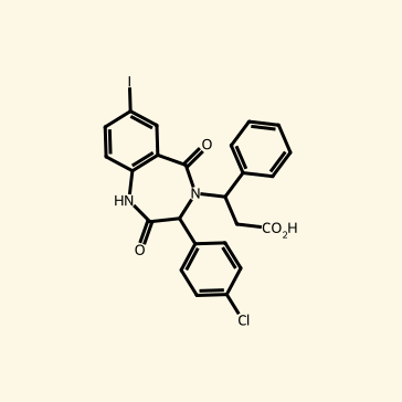 O=C(O)CC(c1ccccc1)N1C(=O)c2cc(I)ccc2NC(=O)C1c1ccc(Cl)cc1